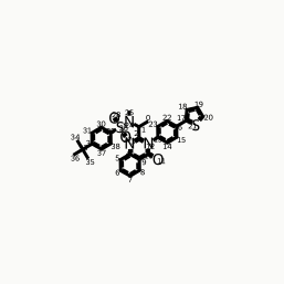 CC(c1nc2ccccc2c(=O)n1-c1ccc(-c2cccs2)cc1)N(C)S(=O)(=O)c1ccc(C(C)(C)C)cc1